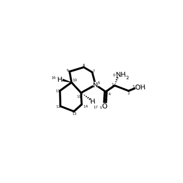 N[C@H](CO)C(=O)N1CCC[C@H]2CCCC[C@@H]21